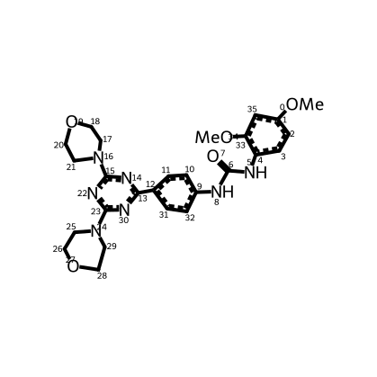 COc1ccc(NC(=O)Nc2ccc(-c3nc(N4CCOCC4)nc(N4CCOCC4)n3)cc2)c(OC)c1